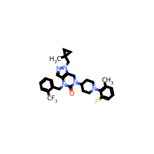 Cc1cccc(F)c1N1CCC(N2Cc3c(cnn3CC3(C)CC3)N(Cc3ccccc3C(F)(F)F)C2=O)CC1